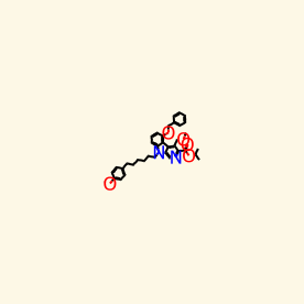 COCc1c(C(=O)OC(C)C)ncc2c1c1c(OCc3ccccc3)cccc1n2CCCCCCc1ccc(OC)cc1